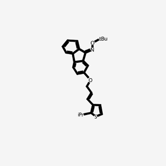 CC(C)c1sccc1/C=C/COc1ccc2c(c1)/C(=N/OC(C)(C)C)c1ccccc1-2